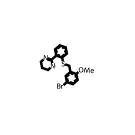 COc1ccc(Br)cc1CSc1ccccc1C1=NCCC[N]1